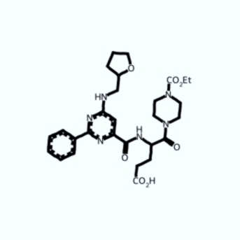 CCOC(=O)N1CCN(C(=O)C(CCC(=O)O)NC(=O)c2cc(NCC3CCCO3)nc(-c3ccccc3)n2)CC1